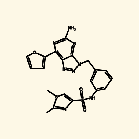 Cc1nc(S(=O)(=O)Nc2cccc(Cn3nnc4c(-c5ccco5)nc(N)nc43)c2)cn1C